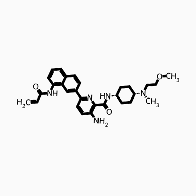 C=CC(=O)Nc1cccc2ccc(-c3ccc(N)c(C(=O)N[C@H]4CC[C@@H](N(C)CCOC)CC4)n3)cc12